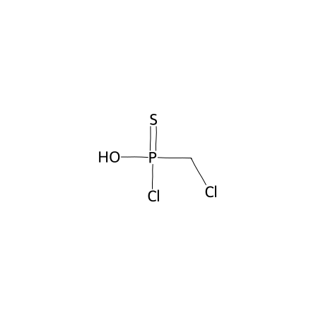 OP(=S)(Cl)CCl